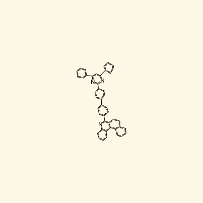 c1ccc(-c2cc(-c3ccccc3)nc(-c3ccc(-c4ccc(-c5nc6ccccc6c6c5ccc5ccccc56)cc4)cc3)n2)cc1